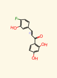 O=C(/C=C/c1ccc(F)c(O)c1)c1ccc(O)cc1O